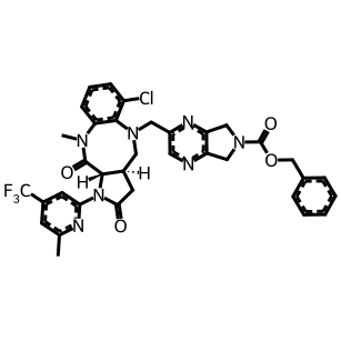 Cc1cc(C(F)(F)F)cc(N2C(=O)C[C@@H]3CN(Cc4cnc5c(n4)CN(C(=O)OCc4ccccc4)C5)c4c(Cl)cccc4N(C)C(=O)[C@H]32)n1